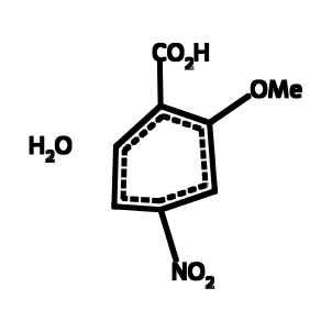 COc1cc([N+](=O)[O-])ccc1C(=O)O.O